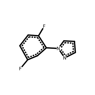 Fc1ccc(F)c(-n2cccn2)c1